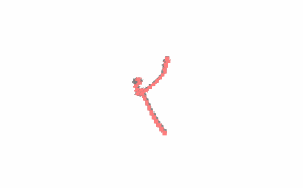 CCCCCCCCCCCCCCCCCCc1cc[n+](CCCc2ccccc2)cc1CCCCCCCCCCCCCCCCCC